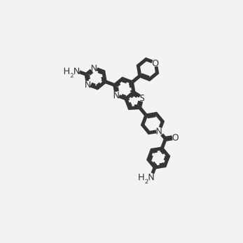 Nc1ccc(C(=O)N2CC=C(c3cc4nc(-c5cnc(N)nc5)cc(C5=CCOCC5)c4s3)CC2)cc1